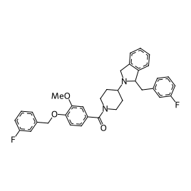 COc1cc(C(=O)N2CCC(N3Cc4ccccc4C3Cc3cccc(F)c3)CC2)ccc1OCc1cccc(F)c1